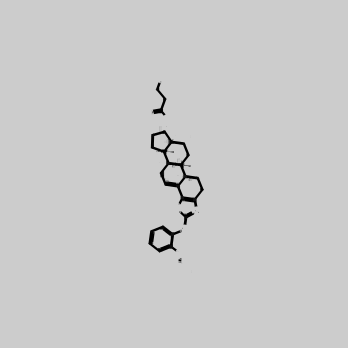 CCCC(=O)O[C@H]1CC[C@H]2[C@@H]3CC=C4c5sc(Nc6ccccc6OC)nc5CC[C@]4(C)[C@H]3CC[C@]12C